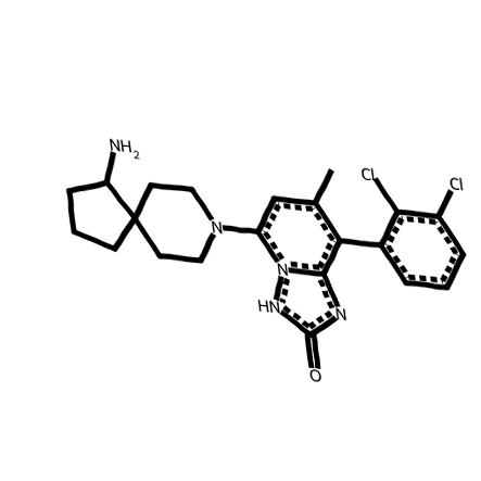 Cc1cc(N2CCC3(CCCC3N)CC2)n2[nH]c(=O)nc2c1-c1cccc(Cl)c1Cl